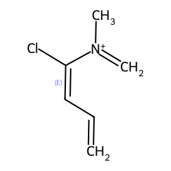 C=C/C=C(/Cl)[N+](=C)C